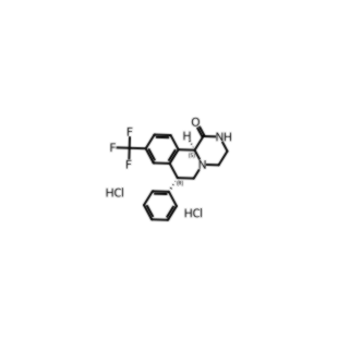 Cl.Cl.O=C1NCCN2C[C@H](c3ccccc3)c3cc(C(F)(F)F)ccc3[C@@H]12